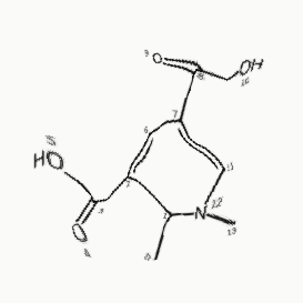 CC1C(C(=O)O)=CC(C(=O)O)=CN1C